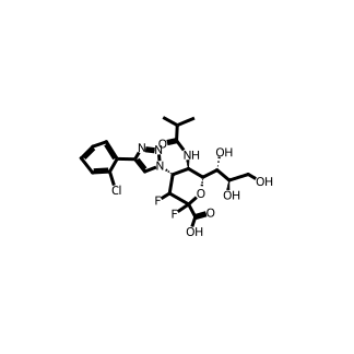 CC(C)C(=O)N[C@H]1[C@H]([C@H](O)[C@H](O)CO)OC(F)(C(=O)O)C(F)[C@@H]1n1cc(-c2ccccc2Cl)nn1